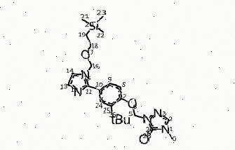 Cn1cnn(COc2ccc(-c3nccn3COCC[Si](C)(C)C)cc2C(C)(C)C)c1=O